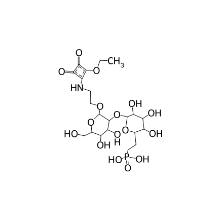 CCOc1c(NCCOC2OC(CO)C(O)C(O)C2OC2OC(CCP(=O)(O)O)C(O)C(O)C2O)c(=O)c1=O